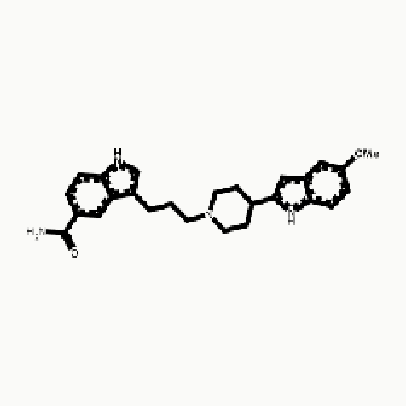 COc1ccc2[nH]c(C3CCN(CCCc4c[nH]c5ccc(C(N)=O)cc45)CC3)cc2c1